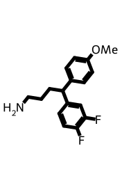 COc1ccc(C(CCCN)c2ccc(F)c(F)c2)cc1